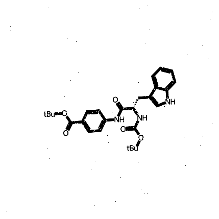 CC(C)(C)OC(=O)N[C@@H](Cc1c[nH]c2ccccc12)C(=O)Nc1ccc(C(=O)OC(C)(C)C)cc1